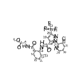 COC(=O)CNC(=O)c1cccc(C)c1NC(=O)c1cc(C(F)(F)F)nn1-c1ncccc1Cl